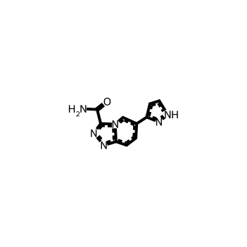 NC(=O)c1nnc2ccc(-c3cc[nH]n3)cn12